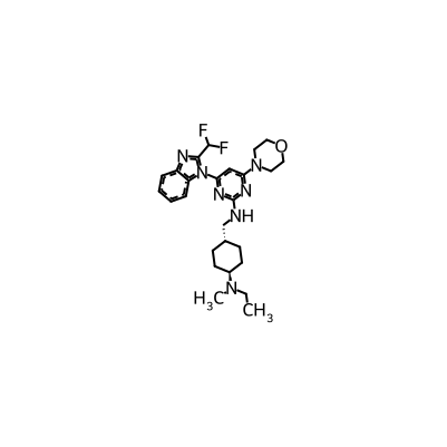 CCN(C)[C@H]1CC[C@H](CNc2nc(N3CCOCC3)cc(-n3c(C(F)F)nc4ccccc43)n2)CC1